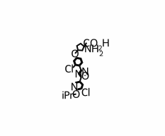 CC(C)Oc1ncc(-c2nc(-c3ccc(OC4CCC(N)(C(=O)O)C4)cc3Cl)no2)cc1Cl